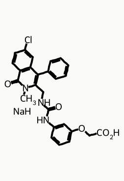 Cn1c(CNC(=O)Nc2cccc(OCC(=O)O)c2)c(-c2ccccc2)c2cc(Cl)ccc2c1=O.[NaH]